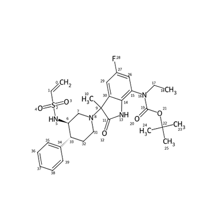 C=CS(=O)(=O)N[C@H]1CN(C2(C)C(=O)Nc3c(N(CC)C(=O)OC(C)(C)C)cc(F)cc32)CC[C@@H]1c1ccccc1